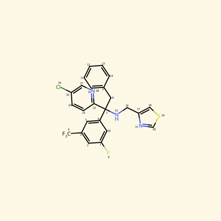 Fc1cc(C(F)(F)F)cc(C(Cc2ccccc2)(NCc2cscn2)c2ccc(Cl)cn2)c1